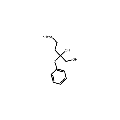 CCCCCCCCCC(O)(CO)Oc1ccccc1